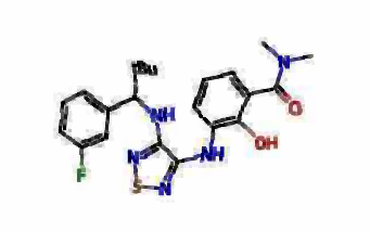 CN(C)C(=O)c1cccc(Nc2nsnc2NC(c2cccc(F)c2)C(C)(C)C)c1O